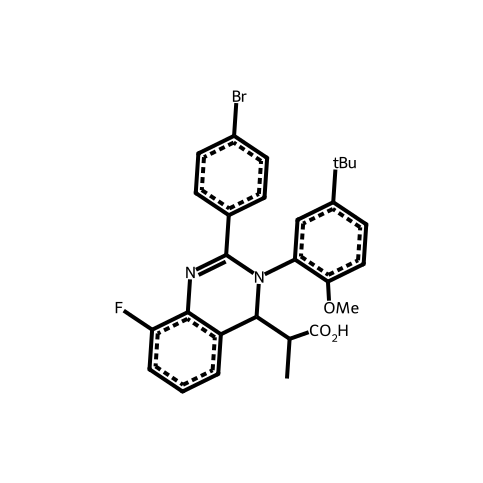 COc1ccc(C(C)(C)C)cc1N1C(c2ccc(Br)cc2)=Nc2c(F)cccc2C1C(C)C(=O)O